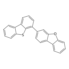 c1ccc2c(c1)oc1cc(-c3cccc4c3sc3ccccc34)ccc12